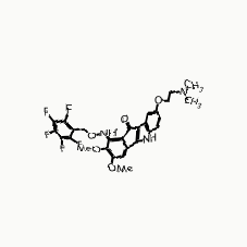 COc1cc2c(c(NOCc3c(F)c(F)c(F)c(F)c3F)c1OC)C(=O)c1c-2[nH]c2ccc(OCCN(C)C)cc12